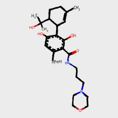 CCCCCc1cc(O)c(C2C=C(C)CCC2C(C)(C)O)c(O)c1C(=O)NCCCN1CCOCC1